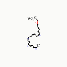 CC/C=C\C/C=C\C/C=C\C/C=C\C/C=C\CCCCOCC(=O)O